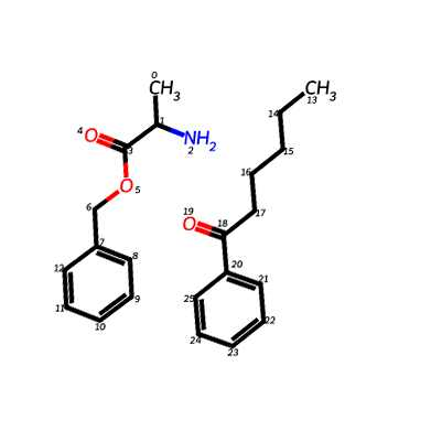 CC(N)C(=O)OCc1ccccc1.CCCCCC(=O)c1ccccc1